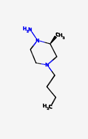 CCCCN1CCN(N)[C@@H](C)C1